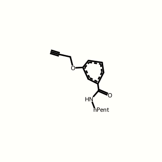 C#CCOc1cccc(C(=O)NCCCCC)c1